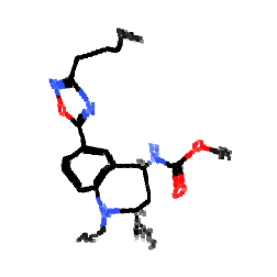 CNCCc1noc(-c2ccc3c(c2)[C@H](NC(=O)OC(C)C)C[C@H](C)N3C(C)=O)n1